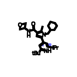 Cc1c(C(=O)NC2COC2)cc(C(/C=C/C(C)C)=C/C(=N)C(C)(C)C)n1CC1CCCCC1